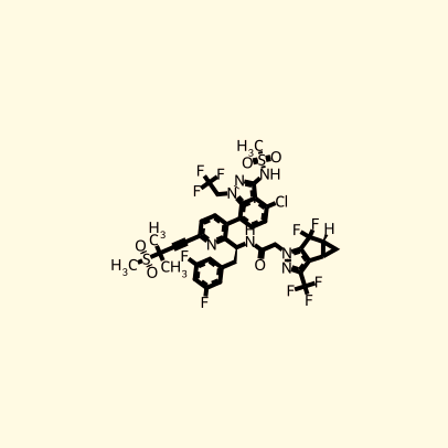 CC(C)(C#Cc1ccc(-c2ccc(Cl)c3c(NS(C)(=O)=O)nn(CC(F)(F)F)c23)c([C@H](Cc2cc(F)cc(F)c2)NC(=O)Cn2nc(C(F)(F)F)c3c2C(F)(F)[C@@H]2CC32)n1)S(C)(=O)=O